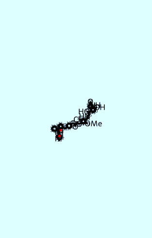 COc1cc(OCC(=O)OC2CCC(Cc3cccc(C4(C(=O)O[C@H]5CN6CCC5CC6)CCCCC4)c3)CC2)c(Cl)cc1CNCC(O)c1ccc(O)c2[nH]c(=O)ccc12